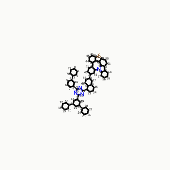 c1ccc(-c2cccc(-c3nc(-c4cc(-c5ccccc5)cc(-c5ccccc5)c4)nc(-c4cccc5cc(-c6ccc7c8cccc9sc%10ccc%11c%12ccccc%12n(c7c6)c%11c%10c98)ccc45)n3)c2)cc1